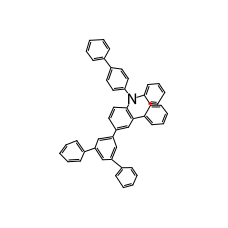 c1ccc(-c2ccc(N(c3ccccc3)c3ccc(-c4cc(-c5ccccc5)cc(-c5ccccc5)c4)cc3-c3ccccc3)cc2)cc1